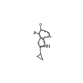 Clc1cnc2[nH]c(C3CC3)cc2c1Br